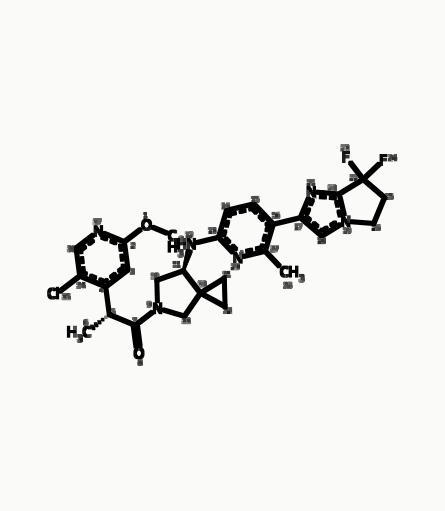 COc1cc([C@@H](C)C(=O)N2C[C@@H](Nc3ccc(-c4cn5c(n4)C(F)(F)CC5)c(C)n3)C3(CC3)C2)c(Cl)cn1